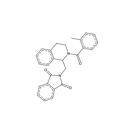 Cc1ccccc1C(=O)N1CCc2ccccc2C1CN1C(=O)c2ccccc2C1=O